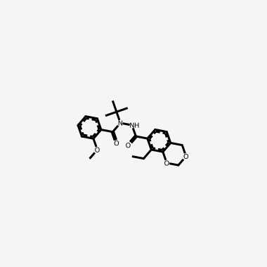 CCc1c(C(=O)NN(C(=O)c2ccccc2OC)C(C)(C)C)ccc2c1OCOC2